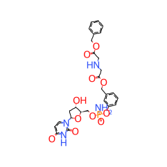 NP(=O)(OC[C@H]1O[C@@H](n2ccc(=O)[nH]c2=O)C[C@@H]1O)Oc1cccc(COC(=O)CNCC(=O)OCc2ccccc2)c1